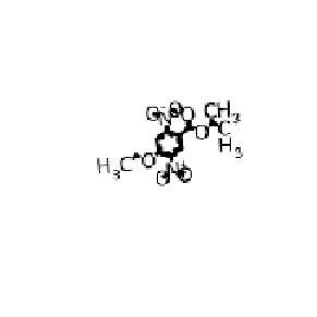 CCOc1cc([N+](=O)[O-])c(C(=O)OC(C)C)cc1[N+](=O)[O-]